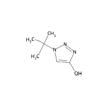 CC(C)(C)n1cc(O)nn1